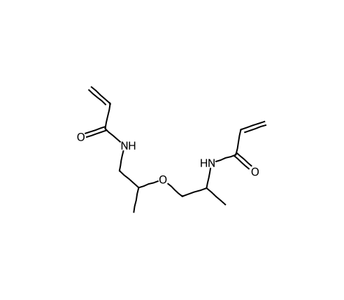 C=CC(=O)NCC(C)OCC(C)NC(=O)C=C